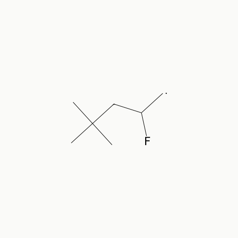 [CH2]C(F)CC(C)(C)C